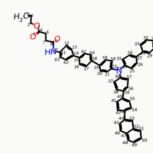 C=CCOC(=O)CCC(=O)Nc1ccc(-c2ccc(-c3ccc(N(c4ccc(-c5ccccc5)cc4)c4ccc(-c5ccc(-c6ccc7ccccc7c6)cc5)cc4)cc3)cc2)cc1